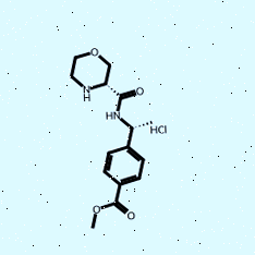 COC(=O)c1ccc([C@@H](C)NC(=O)[C@H]2COCCN2)cc1.Cl